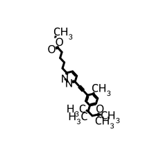 CCOC(=O)CCCCc1ccc(C#Cc2cc3c(cc2C)OC(C)(C)CC3(C)C)nn1